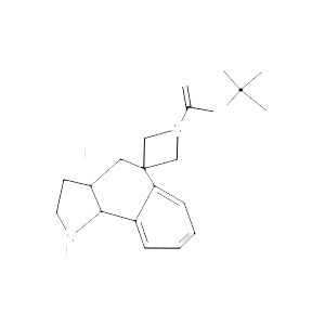 CC(C)(C)OC(=O)N1CC2(C[C@@H]3CCN[C@@H]3c3ccccc32)C1